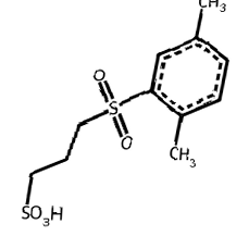 Cc1ccc(C)c(S(=O)(=O)CCCS(=O)(=O)O)c1